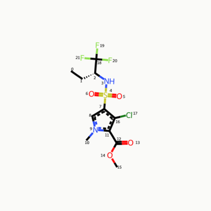 CC[C@@H](NS(=O)(=O)c1cn(C)c(C(=O)OC)c1Cl)C(F)(F)F